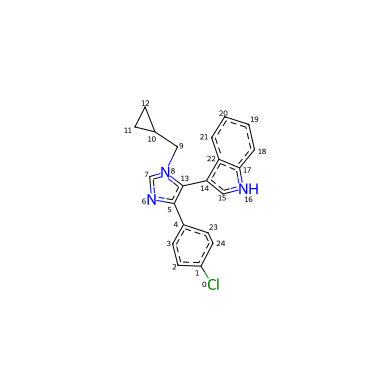 Clc1ccc(-c2ncn(CC3CC3)c2-c2c[nH]c3ccccc23)cc1